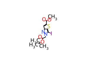 COC(=O)c1cc2nn(CC(=O)OC(C)(C)C)c(I)c2s1